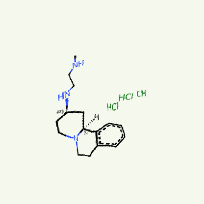 CNCCN[C@@H]1CCN2CCc3ccccc3[C@@H]2C1.Cl.Cl.Cl